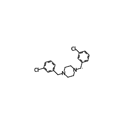 Clc1cccc([CH]N2CCN(Cc3cccc(Cl)c3)CC2)c1